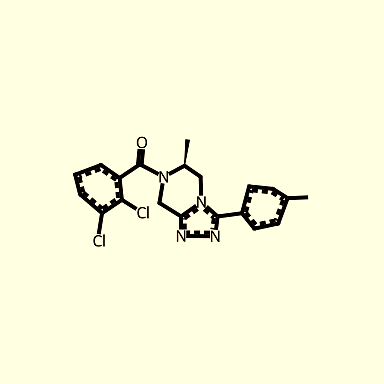 Cc1ccc(-c2nnc3n2C[C@H](C)N(C(=O)c2cccc(Cl)c2Cl)C3)cc1